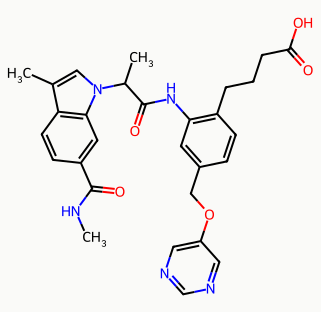 CNC(=O)c1ccc2c(C)cn(C(C)C(=O)Nc3cc(COc4cncnc4)ccc3CCCC(=O)O)c2c1